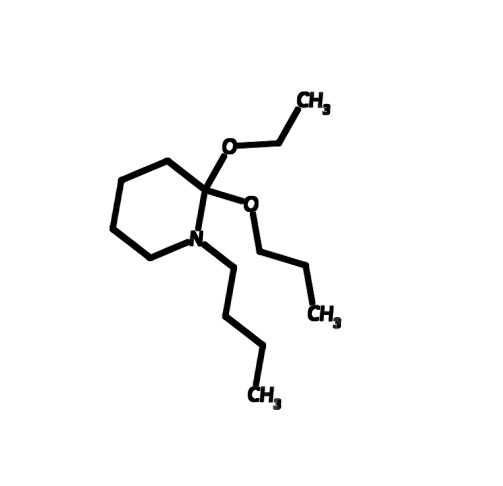 CCCCN1CCCCC1(OCC)OCCC